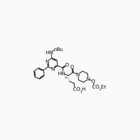 CCCCNc1cc(C(=O)N[C@@H](CCC(=O)O)C(=O)N2CCN(OC(=O)OCC)CC2)nc(-c2ccccc2)n1